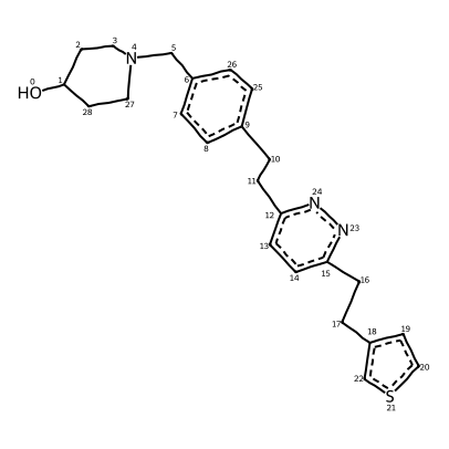 OC1CCN(Cc2ccc(CCc3ccc(CCc4ccsc4)nn3)cc2)CC1